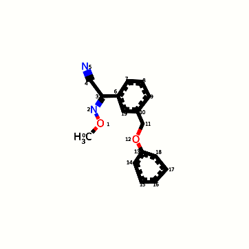 CO/N=C(/C#N)c1cccc(COc2ccccc2)c1